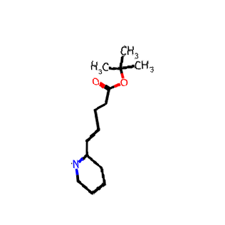 CC(C)(C)OC(=O)CCCCC1CCCC[N]1